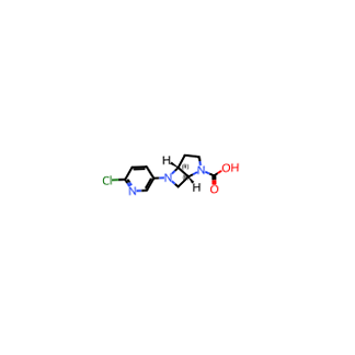 O=C(O)N1CC[C@@H]2[C@H]1CN2c1ccc(Cl)nc1